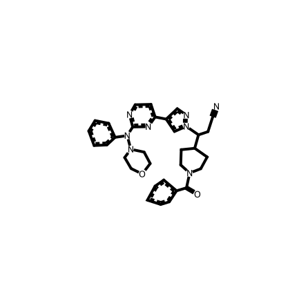 N#CCC(C1CCN(C(=O)c2ccccc2)CC1)n1cc(-c2ccnc(N(c3ccccc3)N3CCOCC3)n2)cn1